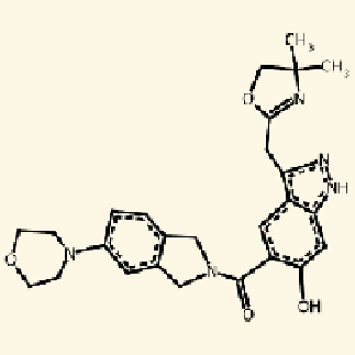 CC1(C)COC(Cc2n[nH]c3cc(O)c(C(=O)N4Cc5ccc(N6CCOCC6)cc5C4)cc23)=N1